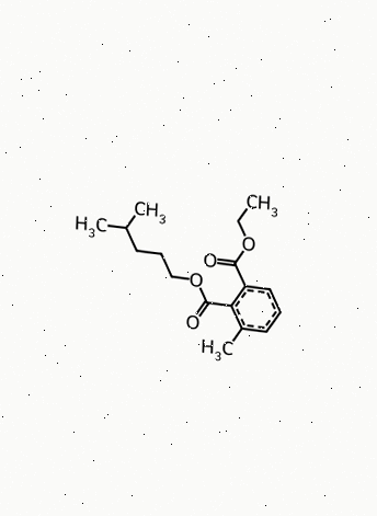 CCOC(=O)c1cccc(C)c1C(=O)OCCCC(C)C